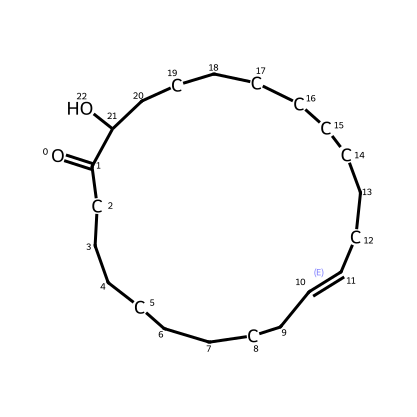 O=C1CCCCCCCC/C=C/CCCCCCCCCC1O